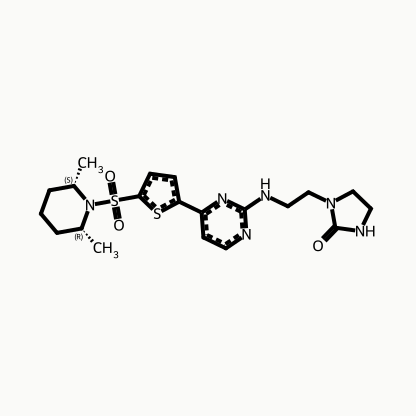 C[C@@H]1CCC[C@H](C)N1S(=O)(=O)c1ccc(-c2ccnc(NCCN3CCNC3=O)n2)s1